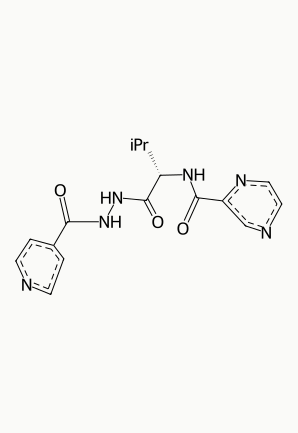 CC(C)[C@H](NC(=O)c1cnccn1)C(=O)NNC(=O)c1ccncc1